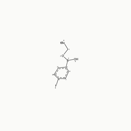 CC(C)(C)COB(O)c1ccc(F)cc1